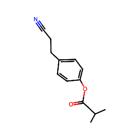 CC(C)C(=O)Oc1ccc(CCC#N)cc1